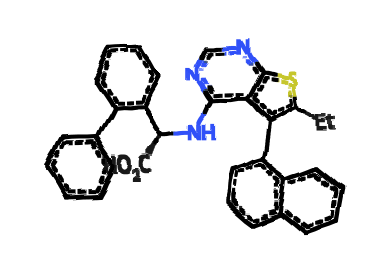 CCc1sc2ncnc(N[C@@H](C(=O)O)c3ccccc3-c3ccccc3)c2c1-c1cccc2ccccc12